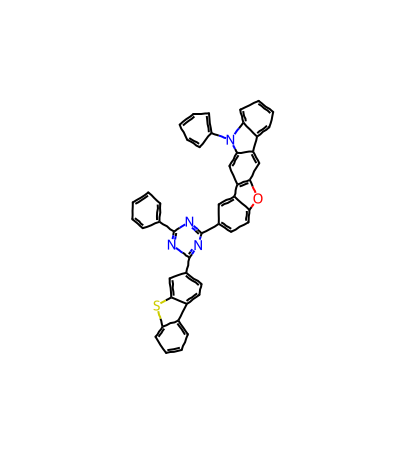 c1ccc(-c2nc(-c3ccc4c(c3)sc3ccccc34)nc(-c3ccc4oc5cc6c7ccccc7n(-c7ccccc7)c6cc5c4c3)n2)cc1